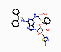 Cc1nnc([C@H]2O[C@@H](n3cnc4c(NCC(c5ccccc5)c5ccccc5)nc(N[C@H](CO)Cc5ccccc5)nc43)[C@H](OC=O)[C@@H]2O)s1